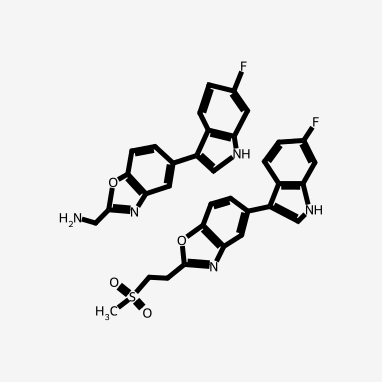 CS(=O)(=O)CCc1nc2cc(-c3c[nH]c4cc(F)ccc34)ccc2o1.NCc1nc2cc(-c3c[nH]c4cc(F)ccc34)ccc2o1